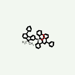 CC1(C)c2cc(N(c3ccccc3-c3cc(-c4ccccc4)c4ccccc4c3)c3cccc4ccccc34)ccc2-c2c(-c3ccccc3)cccc21